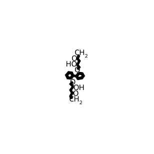 C=CC(=O)CC(O)COc1ccccc1-c1ccccc1OCC(O)CC(=O)C=C